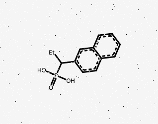 CCC(c1ccc2ccccc2c1)P(=O)(O)O